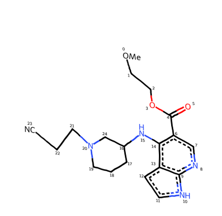 COCCOC(=O)c1cnc2[nH]ccc2c1NC1CCCN(CCC#N)C1